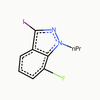 CCCn1nc(I)c2cccc(F)c21